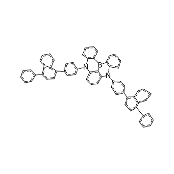 c1ccc(-c2ccc(-c3ccc(N4c5ccccc5B5c6ccccc6N(c6ccc(-c7ccc(-c8ccccc8)c8ccccc78)cc6)c6cccc4c65)cc3)c3ccccc23)cc1